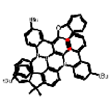 CC(C)(C)c1ccc(N2B3c4c(ccc5c4-c4ccccc4C5(C)C)N(c4ccc(C(C)(C)C)cc4-c4ccccc4)c4cc5c(oc6ccccc65)c(c43)-c3cc(C(C)(C)C)ccc32)cc1